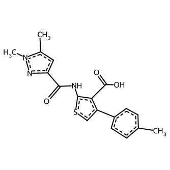 Cc1ccc(-c2csc(NC(=O)c3cc(C)n(C)n3)c2C(=O)O)cc1